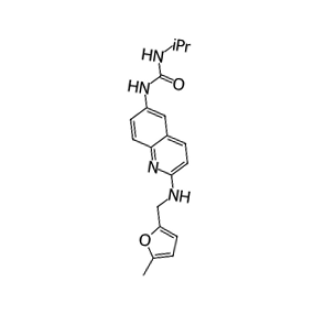 Cc1ccc(CNc2ccc3cc(NC(=O)NC(C)C)ccc3n2)o1